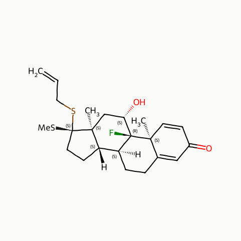 C=CCS[C@@]1(SC)CC[C@H]2[C@@H]3CCC4=CC(=O)C=C[C@]4(C)[C@@]3(F)[C@@H](O)C[C@@]21C